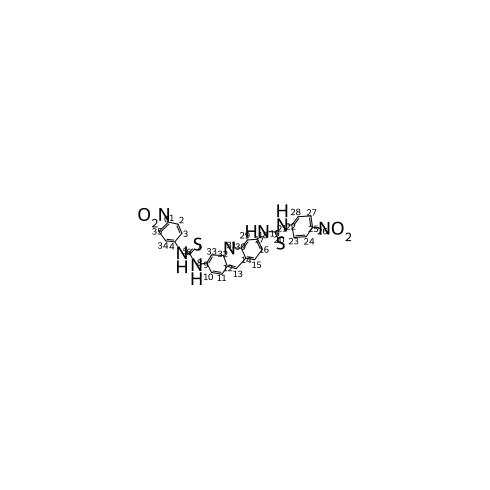 O=[N+]([O-])c1ccc(NC(=S)Nc2ccc3cc4ccc(NC(=S)Nc5ccc([N+](=O)[O-])cc5)cc4nc3c2)cc1